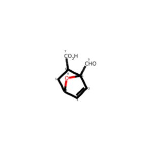 O=CC12C=CC(CC1C(=O)O)O2